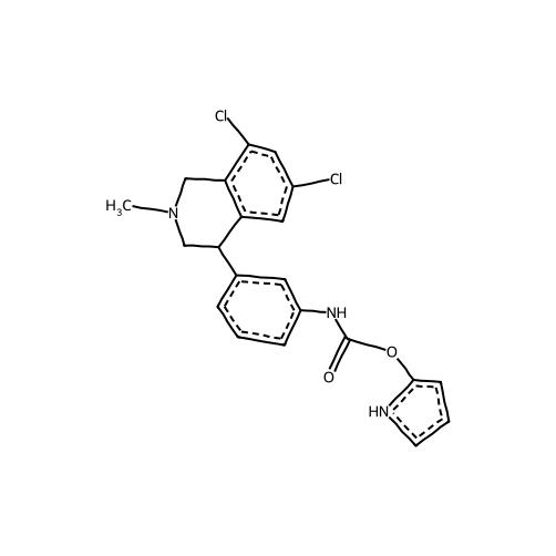 CN1Cc2c(Cl)cc(Cl)cc2C(c2cccc(NC(=O)Oc3ccc[nH]3)c2)C1